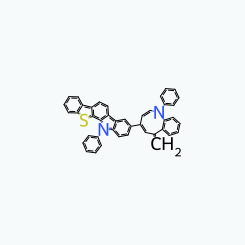 C=C1/C=C(c2ccc3c(c2)c2ccc4c5ccccc5sc4c2n3-c2ccccc2)\C=C/N(c2ccccc2)c2ccccc21